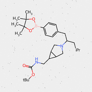 CC(C)CC(Cc1ccc(B2OC(C)(C)C(C)(C)O2)cc1)N1CC2C(CNC(=O)OC(C)(C)C)C2C1